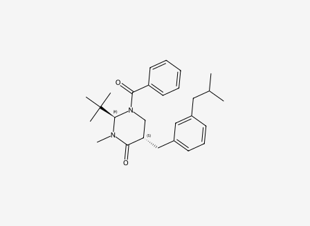 CC(C)Cc1cccc(C[C@H]2CN(C(=O)c3ccccc3)[C@H](C(C)(C)C)N(C)C2=O)c1